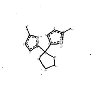 Cc1ccc(C2(c3ccc(C)o3)CCCC2)o1